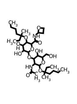 CCCCC(C)(CC)OC1OC(CO)C(O)C(OC2OC(C(=O)NC3CCO3)C(OC(C)(CC)CCCC)C(O)C2O)C1NC(C)=O